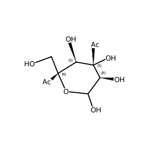 CC(=O)[C@@]1(O)[C@@H](O)C(O)O[C@@](CO)(C(C)=O)[C@H]1O